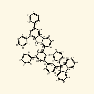 c1ccc(-c2cc(-c3ccccc3)c3oc4c(-c5nc(-c6ccccc6)nc(-c6cccc(C7(c8ccccc8)c8ccccc8-c8ccccc87)c6)n5)cccc4c3c2)cc1